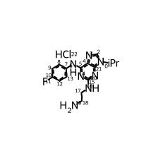 CC(C)n1cnc2c(Nc3ccc(F)cc3)nc(NCCN)nc21.Cl